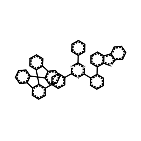 c1ccc(-c2nc(-c3ccc(-c4cccc5c4C4(c6ccccc6-c6ccccc64)c4ccccc4-5)cc3)nc(-c3ccccc3-c3cccc4c3sc3ccccc34)n2)cc1